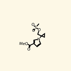 COC(=O)c1ccn(C2(COS(C)(=O)=O)CC2)c1